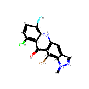 Cn1ncc2cc(N)c(C(=O)c3cc(F)ccc3Cl)c(Br)c21